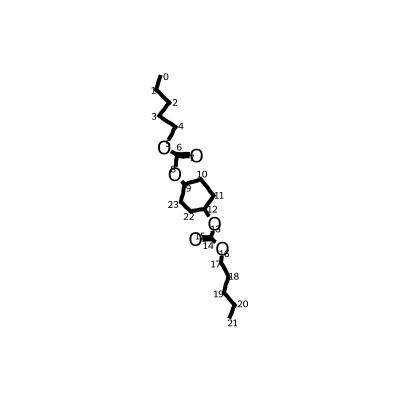 CCCCCOC(=O)OC1CCC(OC(=O)OCCCCC)CC1